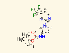 CC(C)(C)OC(=O)NC1CCN(c2nccc(C(F)(F)F)n2)C1